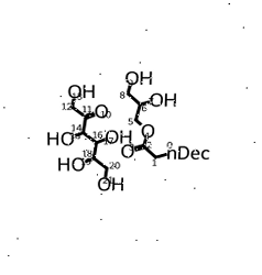 CCCCCCCCCCCC(=O)OCC(O)CO.O=C(CO)C(O)C(O)C(O)CO